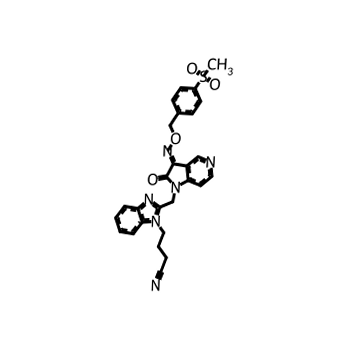 CS(=O)(=O)c1ccc(CO/N=C2/C(=O)N(Cc3nc4ccccc4n3CCCC#N)c3ccncc32)cc1